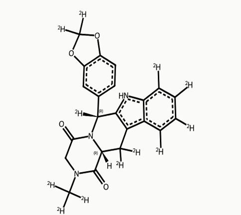 [2H]c1c([2H])c([2H])c2c3c([nH]c2c1[2H])[C@@]([2H])(c1ccc2c(c1)OC([2H])([2H])O2)N1C(=O)CN(C([2H])([2H])[2H])C(=O)[C@H]1C3([2H])[2H]